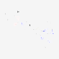 CNc1nc2cc(C3=CCN(C(=O)OC(C)(C)C)CC3)sc2n2c(C)cnc12